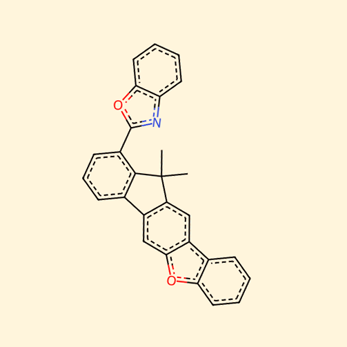 CC1(C)c2cc3c(cc2-c2cccc(-c4nc5ccccc5o4)c21)oc1ccccc13